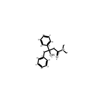 CN(C)C(=O)CC(O)(Cc1ccccc1)c1ccccc1